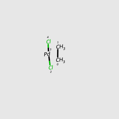 CC.[Cl][Pd][Cl]